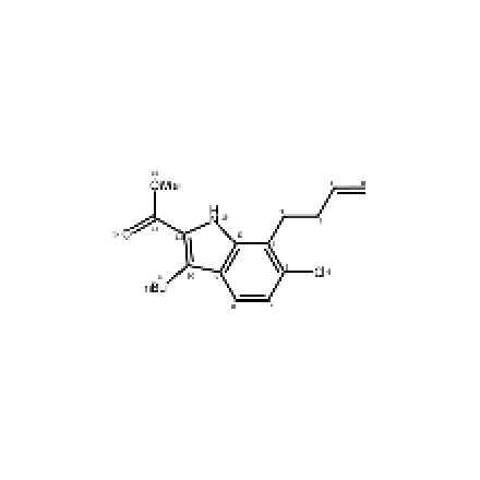 C=CCCc1c(Cl)ccc2c(CCCC)c(C(=O)OC)[nH]c12